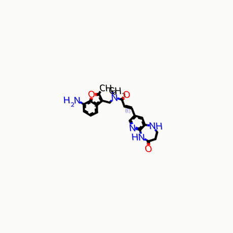 Cc1oc2c(N)cccc2c1CN(C)C(=O)/C=C/c1cnc2c(c1)NCCC(=O)N2